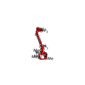 CO[C@H]1C[C@@H]2CCC[C@@](O)(O2)C(=O)C(=O)N2CCCC[C@H]2C(=O)O[C@H]([C@H](N)C[C@@H]2CC[C@@H](OC(=O)N3CCC(N)(C(=O)NCCOCCOCCOCCOCCOCCOCCC(=O)N4CCc5cc(Cn6nc(-c7ccc8oc(N)nc8c7)c7c(N)ncnc76)ccc5C4)CC3)[C@H](OC)C2)C[C@@H](O)[C@H](C)/C=C(\C)[C@@H](O)[C@@H](OC)C(=O)[C@H](C)C[C@H](C)/C=C/C=C/C=C/1C